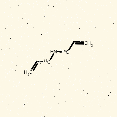 C=C[14CH2]N[14CH2]C=C